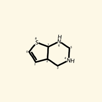 C1=CC2CNCNC2S1